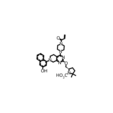 C=CC(=O)N1CCN(c2nc(OC[C@H]3CCC(C)(C)N3C(=O)O)nc3c2CCN(c2cc(O)cc4ccccc24)C3)CC1